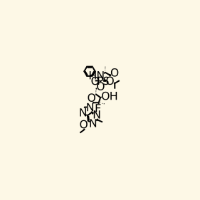 CCOc1nc(C)nc2c1ncn2[C@@H]1O[C@H](CO[P@@](=S)(N[C@H](C)C(=O)OC(C)C)Oc2ccccc2)[C@@H](O)[C@@]1(C)F